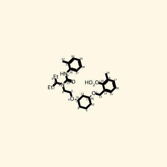 CCC(CC)N(CCO[C@H]1CCC[C@@H](OCc2cccc(C)c2C(=O)O)C1)C(=O)Nc1ccccc1C